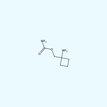 NC(=O)OCC1(N)CCC1